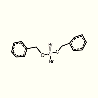 [Br][Zr]([Br])([O]Cc1ccccc1)[O]Cc1ccccc1